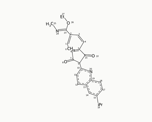 C/C=C(\C=C/C1=CC(=O)C(c2ccc3cc(C(C)C)ccc3n2)C1=O)C(=N/C)/OCC